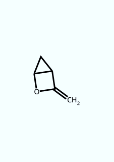 C=C1OC2CC12